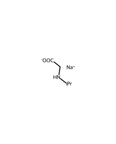 CC(C)NCC(=O)[O-].[Na+]